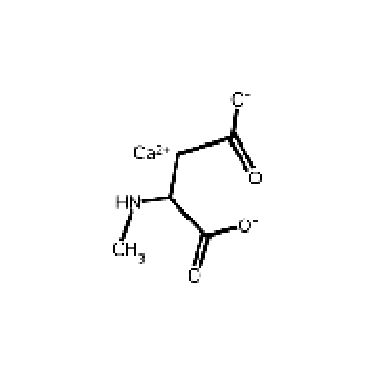 CNC(CC(=O)[O-])C(=O)[O-].[Ca+2]